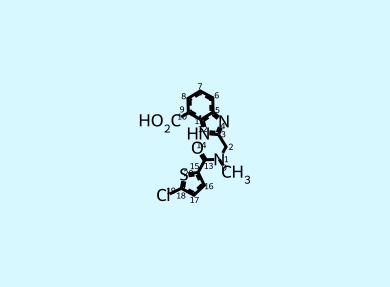 CN(Cc1nc2cccc(C(=O)O)c2[nH]1)C(=O)c1ccc(Cl)s1